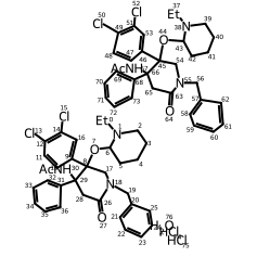 CCN1CCCCC1OC1(c2ccc(Cl)c(Cl)c2)CN(Cc2ccccc2)C(=O)CC1(NC(C)=O)c1ccccc1.CCN1CCCCC1OC1(c2ccc(Cl)c(Cl)c2)CN(Cc2ccccc2)C(=O)CC1(NC(C)=O)c1ccccc1.Cl.Cl.O